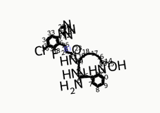 Nc1[nH]c2nc1-c1ccccc1N[C@@H](CO)CCCC[C@@H]2NC(=O)/C=C/c1c(-n2cnnn2)ccc(Cl)c1F